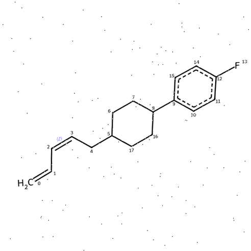 C=C/C=C\CC1CCC(c2ccc(F)cc2)CC1